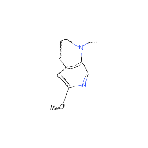 COc1cc2c(cn1)N(C)CC2